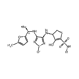 CCNS(=O)(=O)C1=C(O)C(Nc2n[s+]([O-])nc2N[C@@H](c2ccc(C)o2)C(C)(C)C)CS1